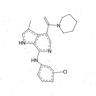 C=C(c1cnc(Nc2cccc(Cl)c2)c2[nH]cc(C)c12)N1CCCCC1